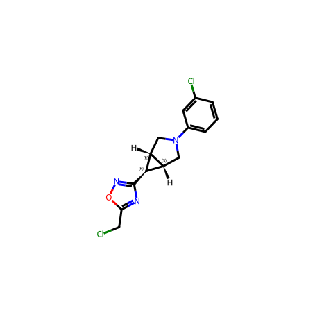 ClCc1nc([C@H]2[C@@H]3CN(c4cccc(Cl)c4)C[C@@H]32)no1